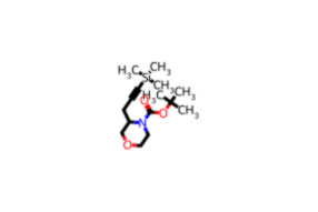 CC(C)(C)OC(=O)N1CCOCC1CC#C[Si](C)(C)C